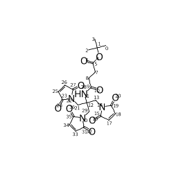 CC(C)(C)OC(=O)CCC(=O)NC(CN1C(=O)C=CC1=O)(CN1C(=O)C=CC1=O)CN1C(=O)C=CC1=O